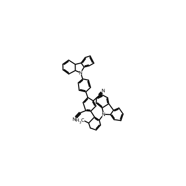 CC1CC=CC(n2c3ccccc3c3ccccc32)=C1c1cc(C#N)c(-c2ccc(N3c4ccccc4C4C=CC=CC43)cc2)cc1C#N